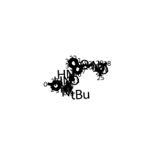 Cc1ccc(-n2nc(C(C)(C)C)cc2NC(=O)Nc2ccc(OCCN3CC(C)OC(C)C3)c3ccccc23)cc1